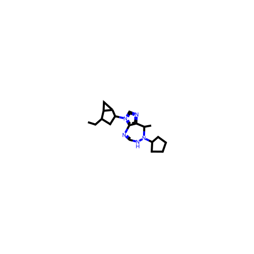 CCC1CC(n2cnc3c2N=CNN(C2CCCC2)C3C)C2CC12